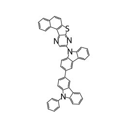 c1ccc(-n2c3ccccc3c3cc(-c4ccc5c(c4)c4ccccc4n5-c4cnc5c(n4)sc4ccc6ccccc6c45)ccc32)cc1